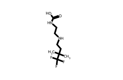 CC(C)(CCNCCNC(=O)O)C(F)(F)F